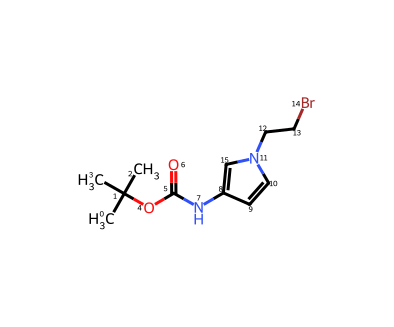 CC(C)(C)OC(=O)Nc1ccn(CCBr)c1